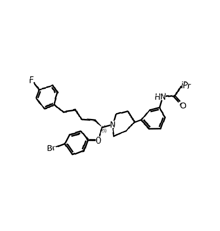 CC(C)C(=O)Nc1cccc(C2CCN([C@H](CCCCc3ccc(F)cc3)Oc3ccc(Br)cc3)CC2)c1